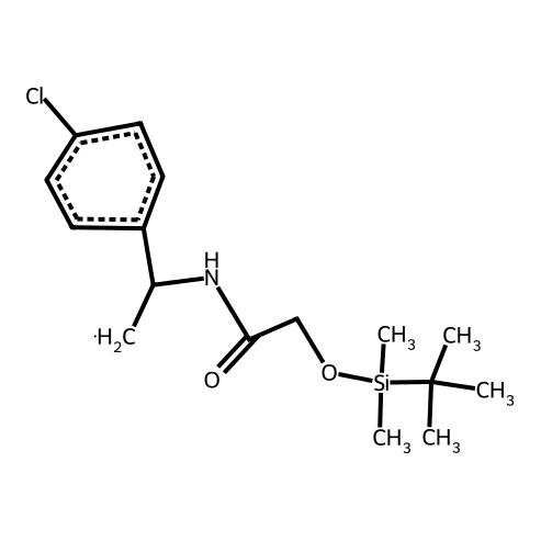 [CH2]C(NC(=O)CO[Si](C)(C)C(C)(C)C)c1ccc(Cl)cc1